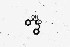 OC(c1ccccc1)c1coc(Cc2ccccc2)c1